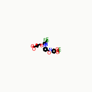 COC(=O)C12CC(COc3cc(C(F)(F)F)nn3-c3cccc(C(=O)N(C)c4ccc5c(c4)OC(F)(F)O5)c3)(C1)C2